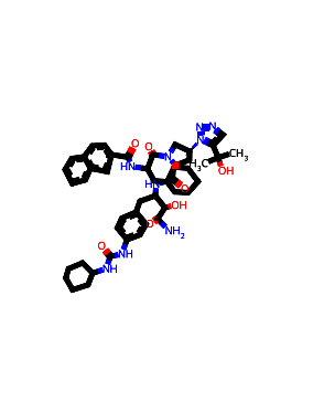 CC(C)(O)c1cnnn1[C@H]1C[C@@H](C(=O)NC(Cc2ccc(NC(=O)NC3CCCCC3)cc2)C(O)C(N)=O)N(C(=O)C(CC2CCCCC2)NC(=O)c2ccc3ccccc3c2)C1